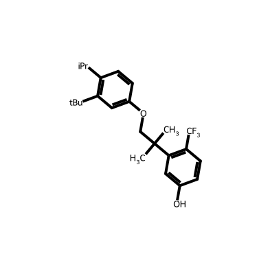 CC(C)c1ccc(OCC(C)(C)c2cc(O)ccc2C(F)(F)F)cc1C(C)(C)C